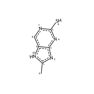 Cc1nc2nc(S)ncc2[nH]1